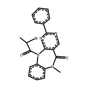 CC(Br)C(=O)N1c2ccccc2N(C)C(=O)c2cnc(-c3ccccc3)nc21